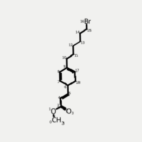 COC(=O)C=CC1C=CC(CCCCCCBr)=CC1